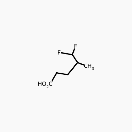 CC(CCC(=O)O)C(F)F